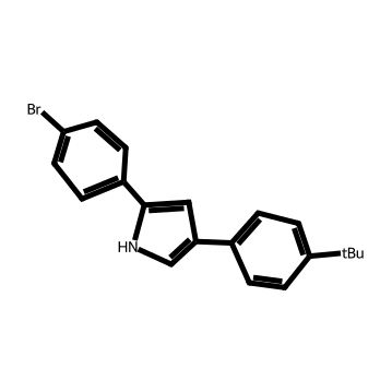 CC(C)(C)c1ccc(-c2c[nH]c(-c3ccc(Br)cc3)c2)cc1